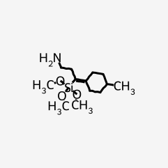 CO[Si](OC)(OC)C(CCN)=C1CCC(C)CC1